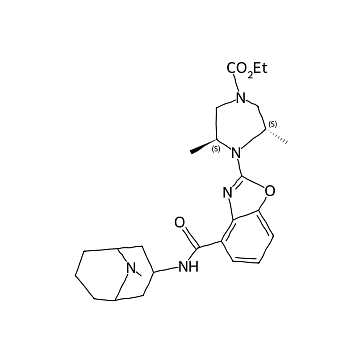 CCOC(=O)N1C[C@H](C)N(c2nc3c(C(=O)NC4CC5CCCC(C4)N5C)cccc3o2)[C@@H](C)C1